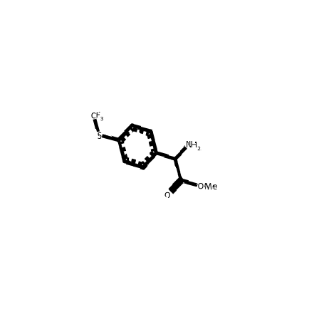 COC(=O)C(N)c1ccc(SC(F)(F)F)cc1